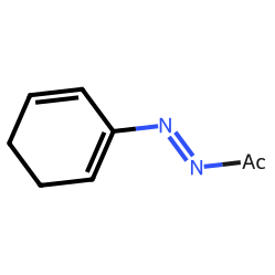 CC(=O)N=NC1=CCCC=C1